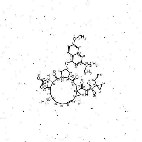 COc1ccc2c(O[C@@H]3C[C@H]4C(=O)N[C@]5(C(=O)NS(=O)(=O)C6(CF)CC6)C[C@H]5C=CCC[C@H](C)C[C@@H](C)[C@H](NC(=O)O)C(=O)N4C3)nc(N(C)C)cc2c1